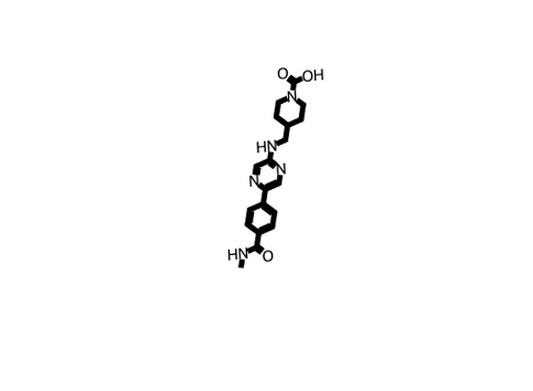 CNC(=O)c1ccc(-c2cnc(NCC3CCN(C(=O)O)CC3)cn2)cc1